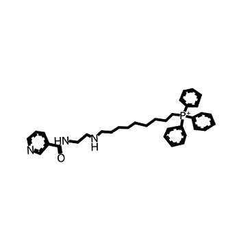 O=C(NCCNCCCCCCCCC[P+](c1ccccc1)(c1ccccc1)c1ccccc1)c1cccnc1